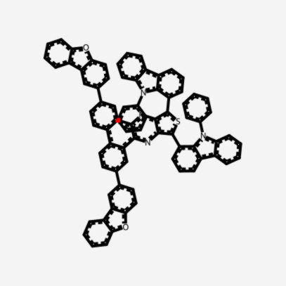 c1ccc(-n2c3ccccc3c3cccc(-c4sc(-c5cccc6c7ccccc7n(-c7ccccc7)c56)c5nc6c7cc(-c8ccc9oc%10ccccc%10c9c8)ccc7c7ccc(-c8ccc9oc%10ccccc%10c9c8)cc7c6nc45)c32)cc1